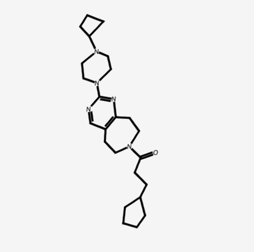 O=C(CCC1CCCC1)N1CCc2cnc(N3CCN(C4CCC4)CC3)nc2CC1